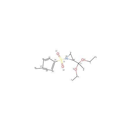 CCOC(C)(OCC)C1CN1S(=O)(=O)c1ccc(C)cc1